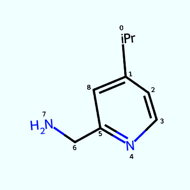 CC(C)c1ccnc(CN)c1